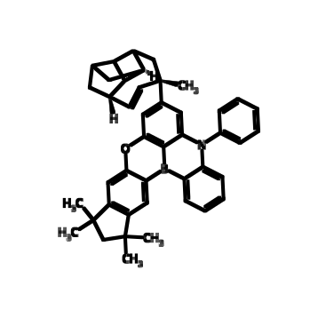 CC1(C)CC(C)(C)c2cc3c(cc21)Oc1cc([C@]2(C)/C=C/[C@@H]4CC5C[C@H]6C(C2)C5C64)cc2c1B3c1ccccc1N2c1ccccc1